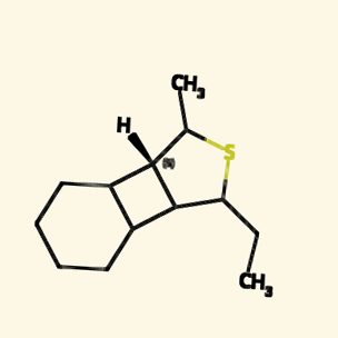 CCC1SC(C)[C@H]2C3CCCCC3C12